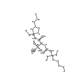 CCCCCC(CC)(CC)OC(=O)CC(C(=O)OC(CC)(CC)CCCCC)S(=O)(=O)[O-].[Na+]